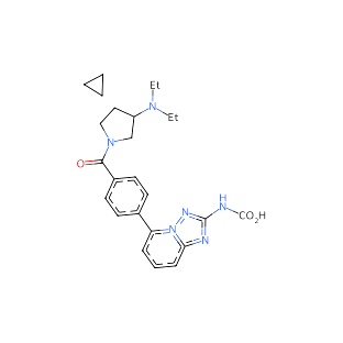 C1CC1.CCN(CC)C1CCN(C(=O)c2ccc(-c3cccc4nc(NC(=O)O)nn34)cc2)C1